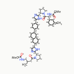 COC(=O)NCC(C)CC(=O)N1CCCC1c1ncc(-c2ccc3cc(-c4ccc(-c5cnc(C6CCCN6C(=O)C(NC(=O)OC)c6cccc(C)c6)[nH]5)cc4)ccc3c2)[nH]1